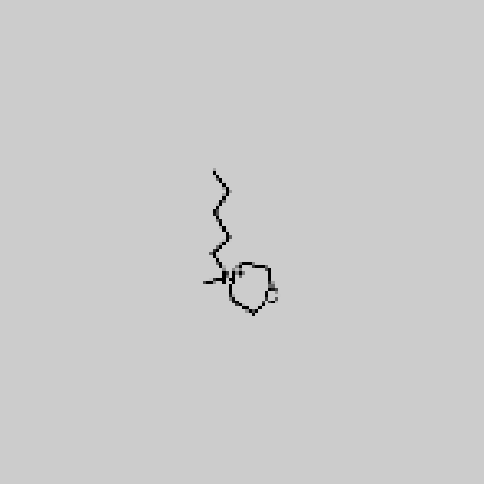 CCCCC[N+]1(C)CCOCC1